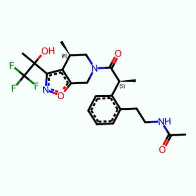 CC(=O)NCCc1ccccc1[C@H](C)C(=O)N1Cc2onc(C(C)(O)C(F)(F)F)c2[C@@H](C)C1